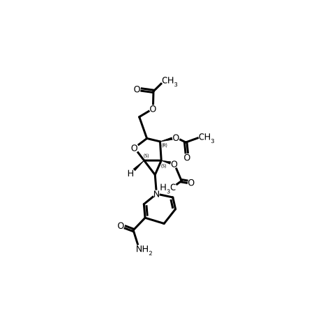 CC(=O)OCC1O[C@H]2C(N3C=CCC(C(N)=O)=C3)[C@@]2(OC(C)=O)[C@@H]1OC(C)=O